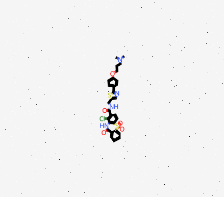 CN(C)CCCOc1ccc(-c2ncc(CNC(=O)c3ccc4c(c3Cl)NC(=O)c3ccccc3S4(=O)=O)s2)cc1